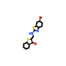 O=C1C(=CNc2nc3ccc(Br)cc3s2)Sc2ccccc21